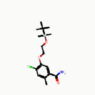 Cc1cc(Cl)c(OCCO[Si](C)(C)C(C)(C)C)cc1C(N)=O